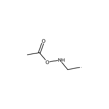 [CH2]CNOC(C)=O